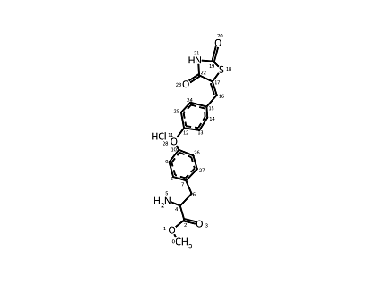 COC(=O)C(N)Cc1ccc(Oc2ccc(/C=C3/SC(=O)NC3=O)cc2)cc1.Cl